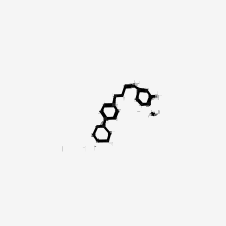 CCCCCC1CCC(c2ccc(CCC=C(C)c3ccc(OC(F)(F)F)c(F)c3)cc2)CC1